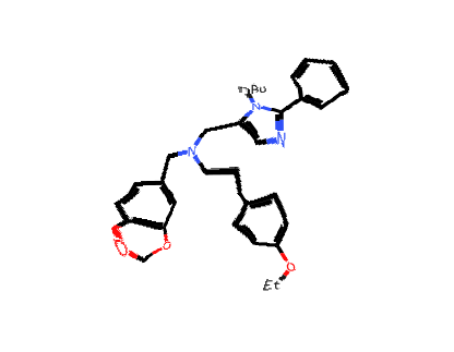 CCCCn1c(CN(CCc2ccc(OCC)cc2)Cc2ccc3c(c2)OCO3)cnc1-c1ccccc1